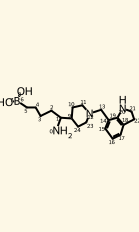 NC(CCCCB(O)O)C1CCN(Cc2cccc3c2NCC3)CC1